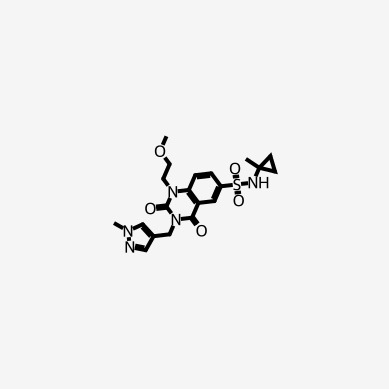 COCCn1c(=O)n(Cc2cnn(C)c2)c(=O)c2cc(S(=O)(=O)NC3(C)CC3)ccc21